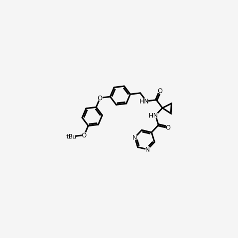 CC(C)(C)Oc1ccc(Oc2ccc(CNC(=O)C3(NC(=O)c4cncnc4)CC3)cc2)cc1